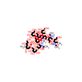 CC(=O)NC1C(O)[C@H](O[C@@H]2OC(CO[C@]3(OC=O)C[C@@H](O)[C@@H](C)C([C@H](O)[C@H](O)CO)O3)[C@H](O)[C@H](O)C2O)[C@H](CO)O[C@H]1OC1[C@@H](OCC2O[C@@H](O[C@@H]3C(CO)O[C@@H](O[C@@H]4C(CO)O[C@@H](C)C(NC(C)=O)[C@H]4O)C(NC(C)=O)[C@H]3O)C(O)[C@@H](O[C@H]3O[C@H](CO)[C@@H](O)C(O)C3O[C@@H]3OC(CO)[C@@H](O[C@@H]4OC(CO)[C@H](O)[C@H](O)C4O)[C@H](O)C3NC(C)=O)[C@@H]2O)OC(CO)[C@@H](O)[C@@H]1O